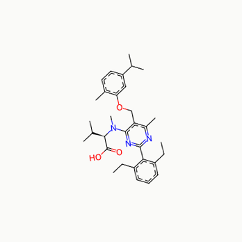 CCc1cccc(CC)c1-c1nc(C)c(COc2cc(C(C)C)ccc2C)c(N(C)[C@@H](C(=O)O)C(C)C)n1